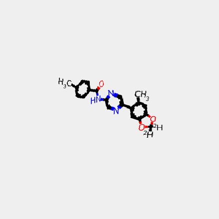 [2H]C1([2H])Oc2cc(C)c(-c3cnc(NC(=O)c4ccc(C)cc4)cn3)cc2O1